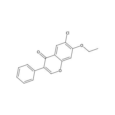 CCOc1cc2occ(-c3ccccc3)c(=O)c2cc1Cl